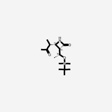 CC(=O)C(C)[C@@H]1NC(=O)[C@@H]1[C@@H](C)O[Si](C)(C)C(C)(C)C